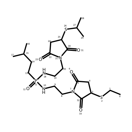 CCSC1CC(=O)N(CCNP(=O)(CCC(C)C)NCCN2C(=O)CC(SC(C)C)C2=O)C1=O